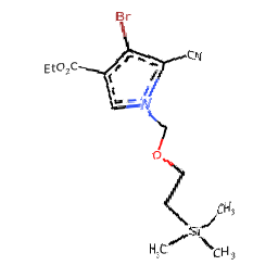 CCOC(=O)c1cn(COCC[Si](C)(C)C)c(C#N)c1Br